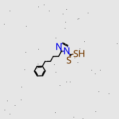 S=C(S)n1ccnc1CCCCc1ccccc1